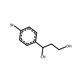 N#CC(CCO)c1ccc(Br)cc1